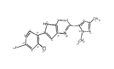 Cc1cc(-c2ccc3[nH]c(-c4ccc(F)cc4Cl)cc3n2)n(C)n1